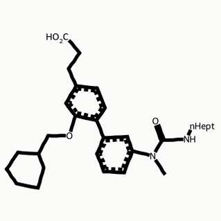 CCCCCCCNC(=O)N(C)c1cccc(-c2ccc(CCC(=O)O)cc2OCC2CCCCC2)c1